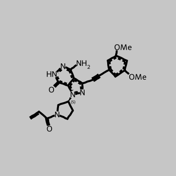 C=CC(=O)N1CC[C@H](n2nc(C#Cc3cc(OC)cc(OC)c3)c3c(N)n[nH]c(=O)c32)C1